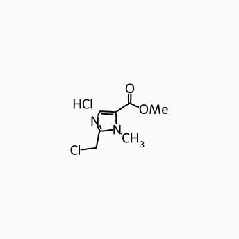 COC(=O)c1cnc(CCl)n1C.Cl